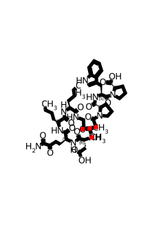 CCCC[C@H](NC(=O)[C@H](CCCC)NC(=O)[C@H](CCC(=O)C(N)=O)NC(=O)[C@@H](CC(=O)O)NC(=O)CC(=O)N1CCC[C@H]1C(=O)N[C@@H](Cc1c[nH]c2ccccc12)C(=O)N1CCC[C@H]1C(=O)O)C(=O)NCCC(C)C